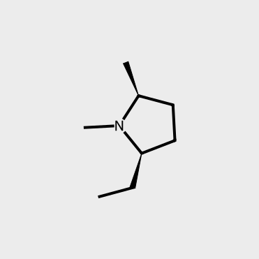 CC[C@@H]1CC[C@H](C)N1C